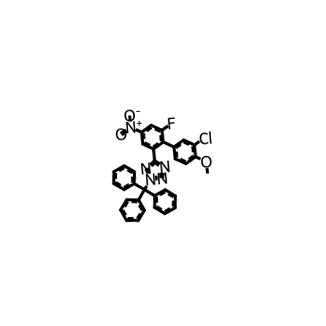 COc1ccc(-c2c(F)cc([N+](=O)[O-])cc2-c2nnn(C(c3ccccc3)(c3ccccc3)c3ccccc3)n2)cc1Cl